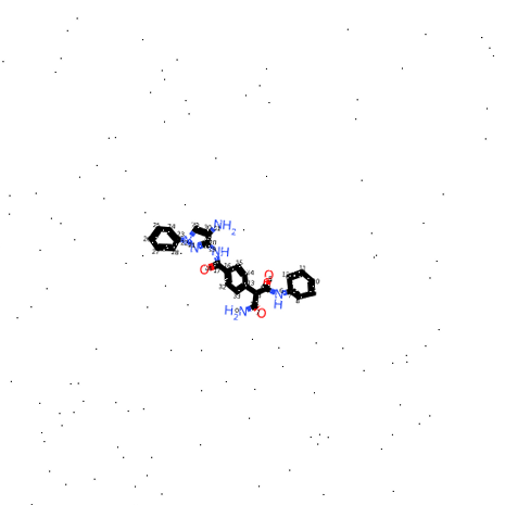 NC(=O)C(C(=O)Nc1ccccc1)c1ccc(C(=O)Nc2nn(-c3ccccc3)cc2N)cc1